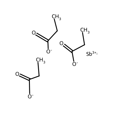 CCC(=O)[O-].CCC(=O)[O-].CCC(=O)[O-].[Sb+3]